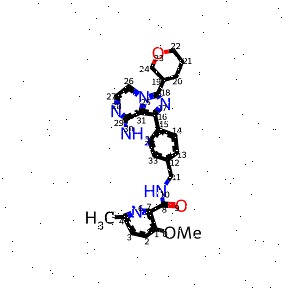 COc1ccc(C)nc1C(=O)NCc1ccc(-c2nc(C3CCCOC3)n3ccnc(N)c23)cc1